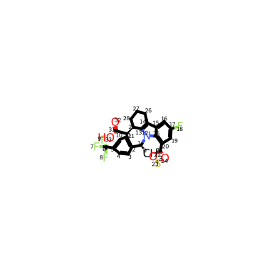 C[C@@H](c1ccc(C(F)(F)F)cc1)n1c2c(c3cc(F)cc(C4OSO4)c31)CCC[C@@H]2CC(=O)O